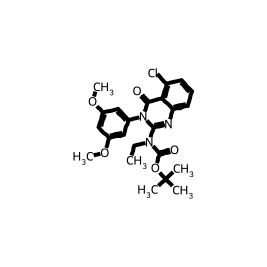 CCN(C(=O)OC(C)(C)C)c1nc2cccc(Cl)c2c(=O)n1-c1cc(OC)cc(OC)c1